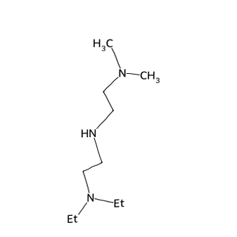 CCN(CC)CCNCCN(C)C